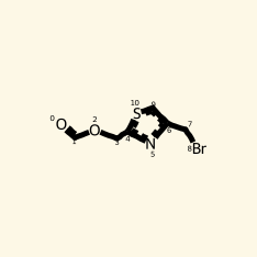 O=COCc1nc(CBr)cs1